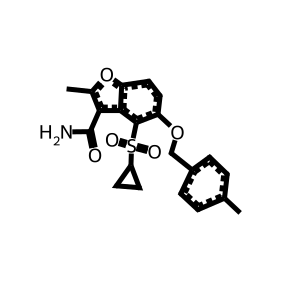 Cc1ccc(COc2ccc3oc(C)c(C(N)=O)c3c2S(=O)(=O)C2CC2)cc1